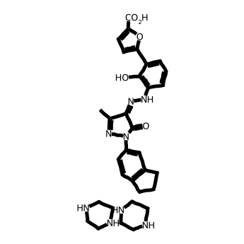 C1CNCCN1.C1CNCCN1.CC1=NN(c2ccc3c(c2)CCC3)C(=O)/C1=N\Nc1cccc(-c2ccc(C(=O)O)o2)c1O